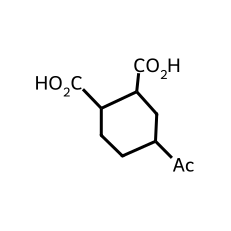 CC(=O)C1CCC(C(=O)O)C(C(=O)O)C1